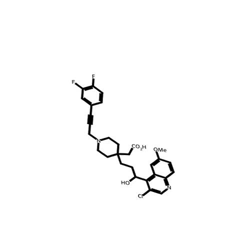 COc1ccc2ncc(Cl)c(C(O)CCC3(CC(=O)O)CCN(CC#Cc4ccc(F)c(F)c4)CC3)c2c1